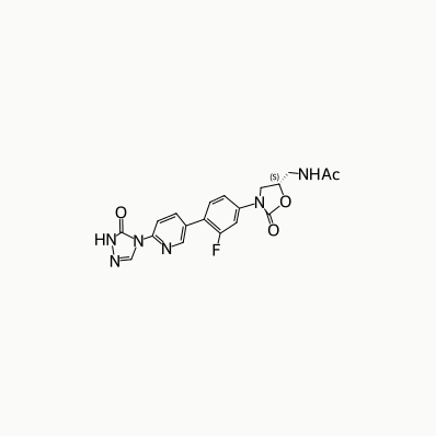 CC(=O)NC[C@H]1CN(c2ccc(-c3ccc(-n4cn[nH]c4=O)nc3)c(F)c2)C(=O)O1